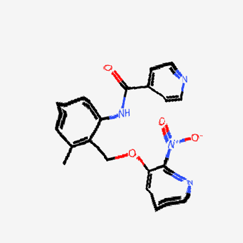 Cc1cccc(NC(=O)c2ccncc2)c1COc1cccnc1[N+](=O)[O-]